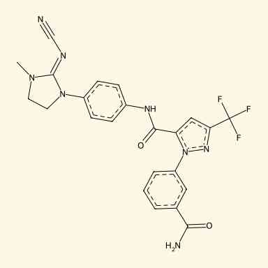 CN1CCN(c2ccc(NC(=O)c3cc(C(F)(F)F)nn3-c3cccc(C(N)=O)c3)cc2)C1=NC#N